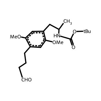 COc1cc(CC(C)NC(=O)OC(C)(C)C)c(OC)cc1CCCC=O